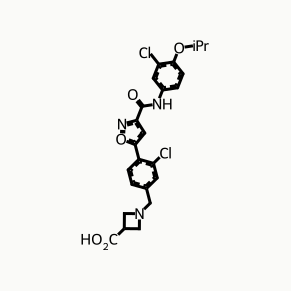 CC(C)Oc1ccc(NC(=O)c2cc(-c3ccc(CN4CC(C(=O)O)C4)cc3Cl)on2)cc1Cl